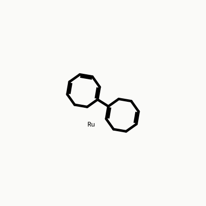 C1=CC=C(C2=CCCC=CCC2)CCC=C1.[Ru]